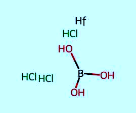 Cl.Cl.Cl.OB(O)O.[Hf]